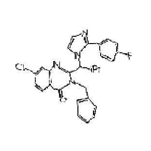 CC(C)C(c1nc2cc(Cl)ccc2c(=O)n1Cc1ccccc1)n1ccnc1-c1ccc(F)cc1